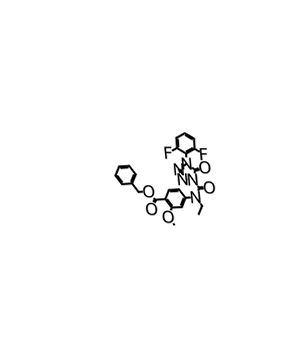 CCN(C(=O)n1nnn(-c2c(F)cccc2F)c1=O)c1ccc(C(=O)OCc2ccccc2)c(OC)c1